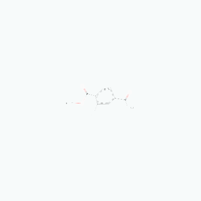 CCCOC(=O)c1ccc(C(=O)OC)cc1S(=O)(=O)O